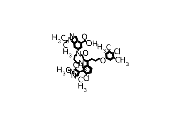 Cc1cc(OCCCc2c3n(c4c(-c5c(C)nn(C)c5C)c(Cl)ccc24)CCCN(c2cc(C(=O)O)c4cnn(C(C)C)c4c2)C3=O)cc(C)c1Cl